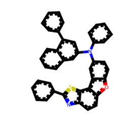 c1ccc(-c2nc3ccc4oc5ccc(N(c6ccccc6)c6cc(-c7ccccc7)c7ccccc7c6)cc5c4c3s2)cc1